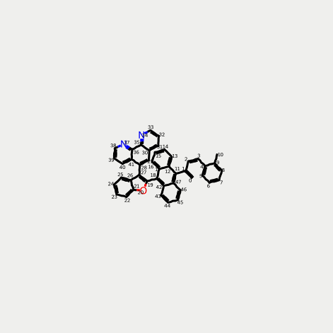 C=C(/C=C\c1ccccc1C)c1c2ccccc2c(-c2oc3ccccc3c2-c2cc3cccnc3c3ncccc23)c2ccccc12